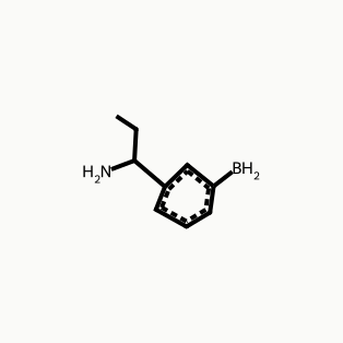 Bc1cccc(C(N)CC)c1